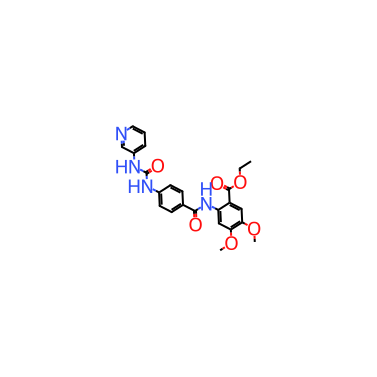 CCOC(=O)c1cc(OC)c(OC)cc1NC(=O)c1ccc(NC(=O)Nc2cccnc2)cc1